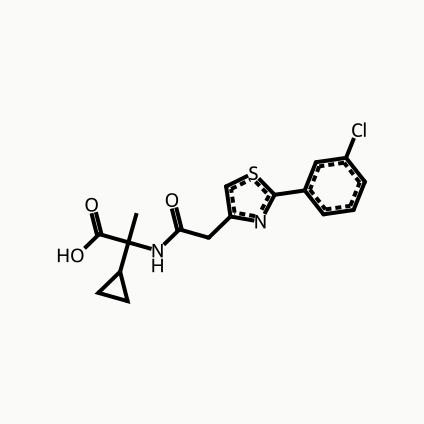 CC(NC(=O)Cc1csc(-c2cccc(Cl)c2)n1)(C(=O)O)C1CC1